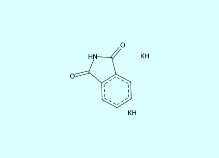 O=C1NC(=O)c2ccccc21.[KH].[KH]